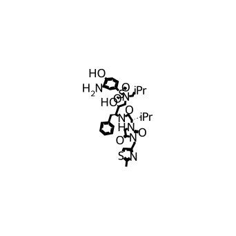 Cc1nc(CN2C(=O)CN([C@H](C(=O)N[C@@H](Cc3ccccc3)[C@H](O)CN(CC(C)C)S(=O)(=O)c3ccc(O)c(N)c3)C(C)C)C2=O)cs1